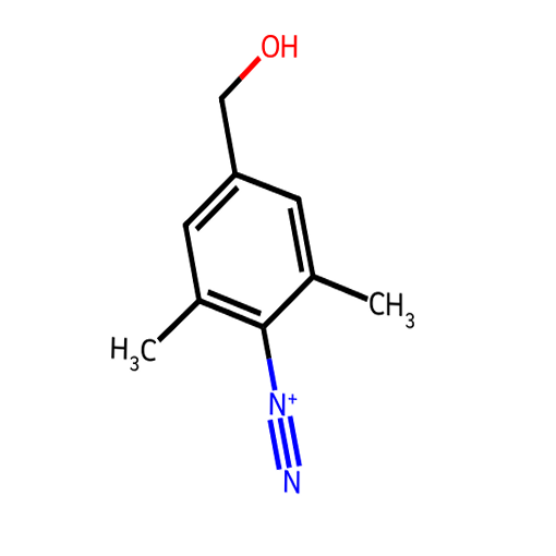 Cc1cc(CO)cc(C)c1[N+]#N